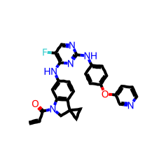 C=CC(=O)N1CC2(CC2)c2ccc(Nc3nc(Nc4ccc(Oc5cccnc5)cc4)ncc3F)cc21